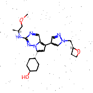 COC[C@H](C)Nc1ncc2c(-c3cnn(C[C@@H]4CCO4)c3)cc([C@H]3CC[C@H](O)CC3)n2n1